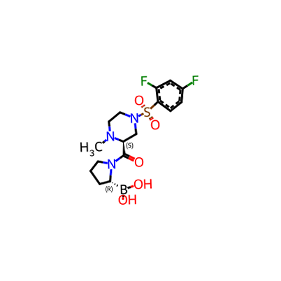 CN1CCN(S(=O)(=O)c2ccc(F)cc2F)C[C@H]1C(=O)N1CCC[C@H]1B(O)O